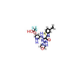 O=C(O)C(F)(F)F.O=c1[nH]c(N2CCOCC2)nc(N[C@@H]2CCCNC2)c1-c1nc2cc(C3CC3)ccc2s1